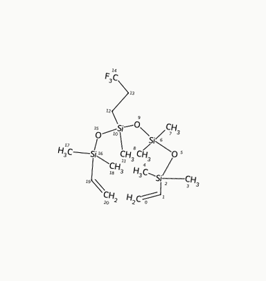 C=C[Si](C)(C)O[Si](C)(C)O[Si](C)(CCC(F)(F)F)O[Si](C)(C)C=C